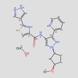 CCO[C@@H]1CC[C@H](n2cc(NC(=O)c3csc(-c4cn[nH]c4)n3)c(-c3ccccn3)n2)C1.O=CO